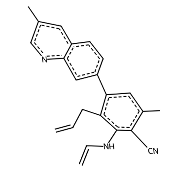 C=CCc1c(-c2ccc3cc(C)cnc3c2)cc(C)c(C#N)c1NC=C